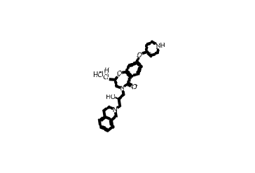 CC1CN(C[C@H](O)CN2CCc3ccccc3C2)C(=O)c2ccc(OC3CCNCC3)cc2O1.Cl.Cl